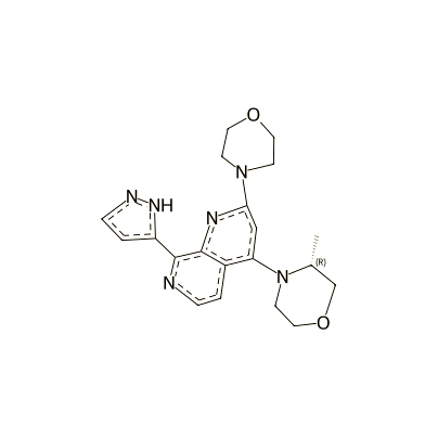 C[C@@H]1COCCN1c1cc(N2CCOCC2)nc2c(-c3ccn[nH]3)nccc12